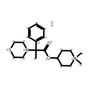 CC(C(=O)OC1CC[N+](C)(C)CC1)(c1ccccc1)N1CCSCC1.[I-]